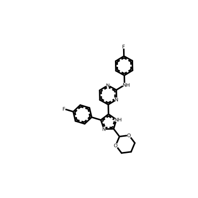 Fc1ccc(Nc2nccc(-c3[nH]c(C4OCCCO4)nc3-c3ccc(F)cc3)n2)cc1